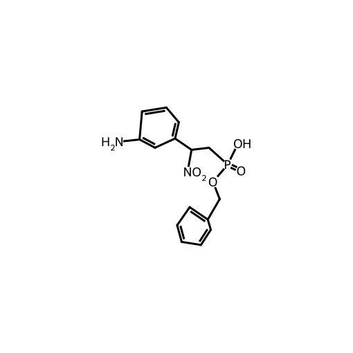 Nc1cccc(C(CP(=O)(O)OCc2ccccc2)[N+](=O)[O-])c1